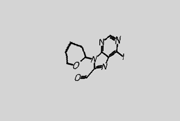 O=Cc1nc2c(I)ncnc2n1C1CCCCO1